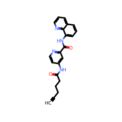 C#CCCCC(=O)Nc1ccnc(C(=O)Nc2cccc3cccnc23)c1